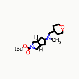 CN(CC1CCOCC1)C1C[C@@H]2CN(C(=O)OC(C)(C)C)C[C@@H]2C1